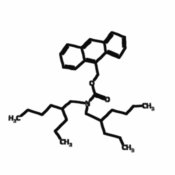 CCCCC(CCC)CN(CC(CCC)CCCC)C(=O)OCc1c2ccccc2cc2ccccc12